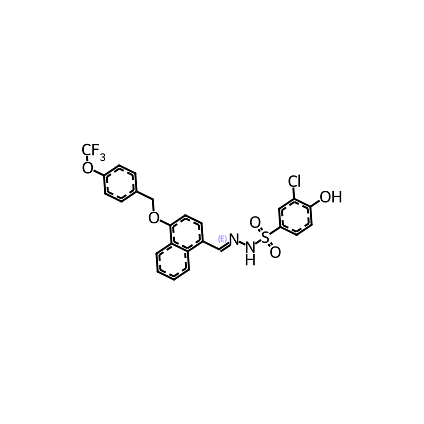 O=S(=O)(N/N=C/c1ccc(OCc2ccc(OC(F)(F)F)cc2)c2ccccc12)c1ccc(O)c(Cl)c1